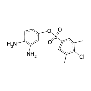 Cc1cc(S(=O)(=O)Oc2ccc(N)c(N)c2)cc(C)c1Cl